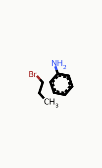 CCCBr.Nc1ccccc1